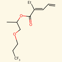 C=C/C=C(\CC)C(=O)OC(C)COCCC(F)(F)F